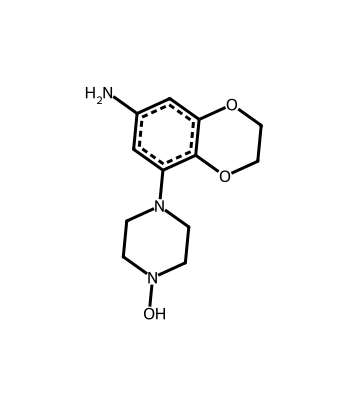 Nc1cc2c(c(N3CCN(O)CC3)c1)OCCO2